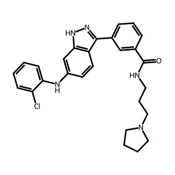 O=C(NCCCN1CCCC1)c1cccc(-c2n[nH]c3cc(Nc4ccccc4Cl)ccc23)c1